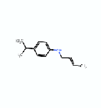 C/C=C/CNc1ccc(C(C)C(=O)O)cc1